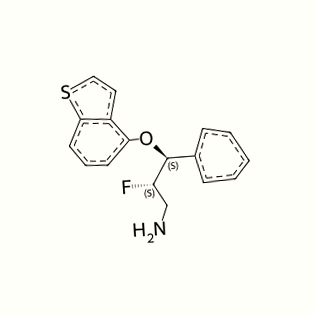 NC[C@H](F)[C@@H](Oc1cccc2sccc12)c1ccccc1